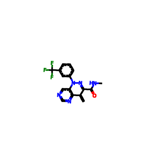 C=C1C(C(=O)NC)=NN(c2cccc(C(F)(F)F)c2)c2cncnc21